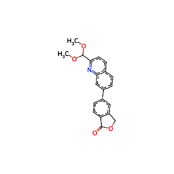 COC(OC)c1ccc2ccc(-c3ccc4c(c3)COC4=O)cc2n1